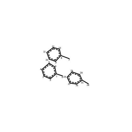 Cc1ccccc1.Cc1ccccc1.Cc1ccccc1